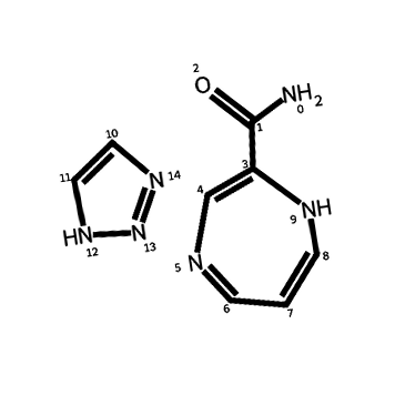 NC(=O)C1=CN=CC=CN1.c1c[nH]nn1